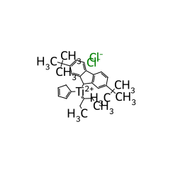 CC[C](CC)=[Ti+2]([C]1=CC=CC1)[CH]1c2cc(C(C)(C)C)ccc2-c2ccc(C(C)(C)C)cc21.[Cl-].[Cl-]